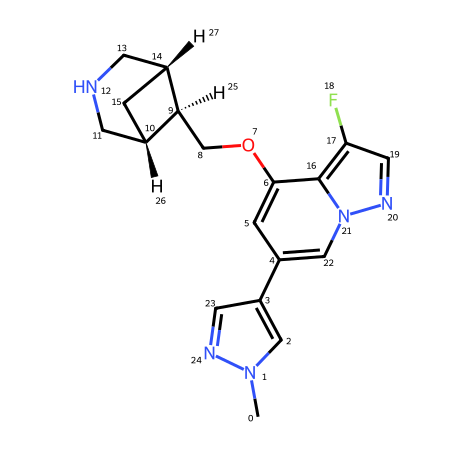 Cn1cc(-c2cc(OC[C@H]3[C@@H]4CNC[C@H]3C4)c3c(F)cnn3c2)cn1